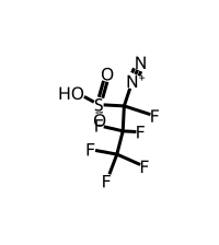 N#[N+]C(F)(C(F)(F)C(F)(F)F)S(=O)(=O)O